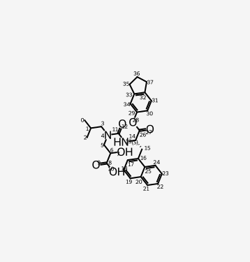 CC(C)CN(CC(O)C(=O)O)C(=O)N[C@@H](Cc1cccc2ccccc12)C(=O)Oc1ccc2c(c1)CCC2